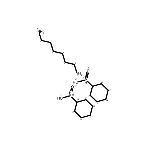 NCCCCCCN.O=[PH](O)C1CCCCC1.O=[PH](O)C1CCCCC1